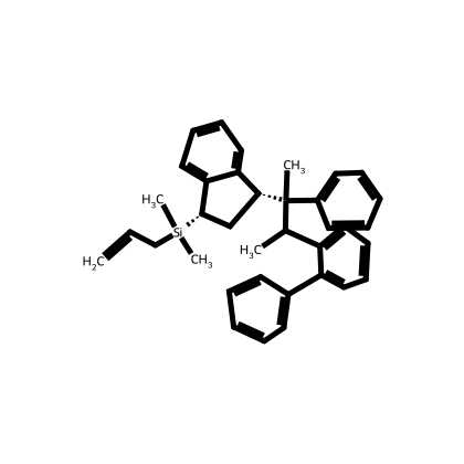 C=CC[Si](C)(C)[C@H]1C[C@@H](C(C)(c2ccccc2)C(C)c2ccccc2-c2ccccc2)c2ccccc21